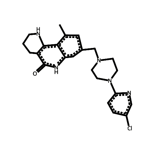 Cc1cc(CN2CCN(c3ccc(Cl)cn3)CC2)cc2[nH]c(=O)c3c(c12)NCCC3